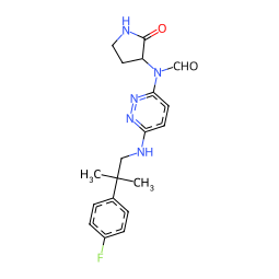 CC(C)(CNc1ccc(N(C=O)C2CCNC2=O)nn1)c1ccc(F)cc1